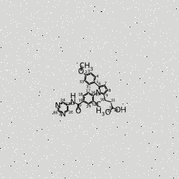 COc1ccc(-c2ccc(CCC(=O)O)n2-c2ccc(C(=O)Nc3cncnc3)cc2C)cc1